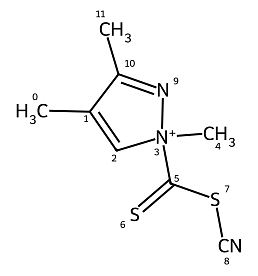 CC1=C[N+](C)(C(=S)SC#N)N=C1C